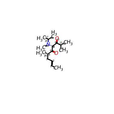 CC=CC[C@@H](C)C(=O)[C@@H](C(=O)C(C)C)N(C)C(C)C